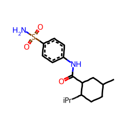 CC1CCC(C(C)C)C(C(=O)Nc2ccc(S(N)(=O)=O)cc2)C1